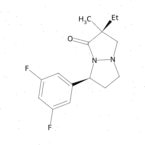 CC[C@@]1(C)CN2CC[C@@H](c3cc(F)cc(F)c3)N2C1=O